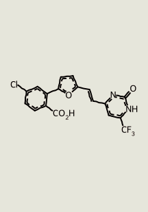 O=C(O)c1ccc(Cl)cc1-c1ccc(C=Cc2cc(C(F)(F)F)[nH]c(=O)n2)o1